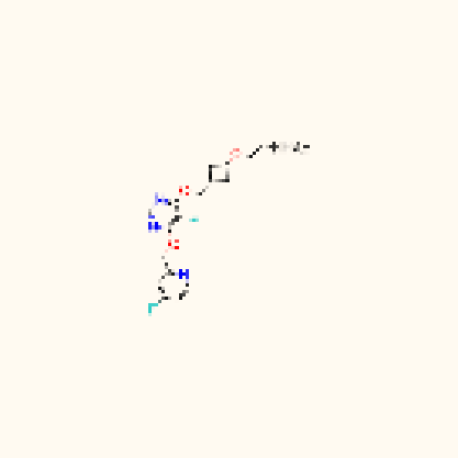 CC(=O)NCCOC1CC(COc2ncnc(OCc3cc(F)ccn3)c2F)C1